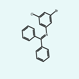 Clc1cc(Br)cc(N=C(c2ccccc2)c2ccccc2)c1